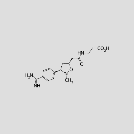 CN1O[C@H](CC(=O)NCCC(=O)O)C[C@@H]1c1ccc(C(=N)N)cc1